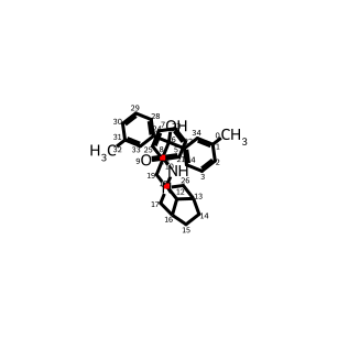 Cc1cccc(C(O)(C(=O)NCC2C3CCC2CN(Cc2ccccc2)C3)c2cccc(C)c2)c1